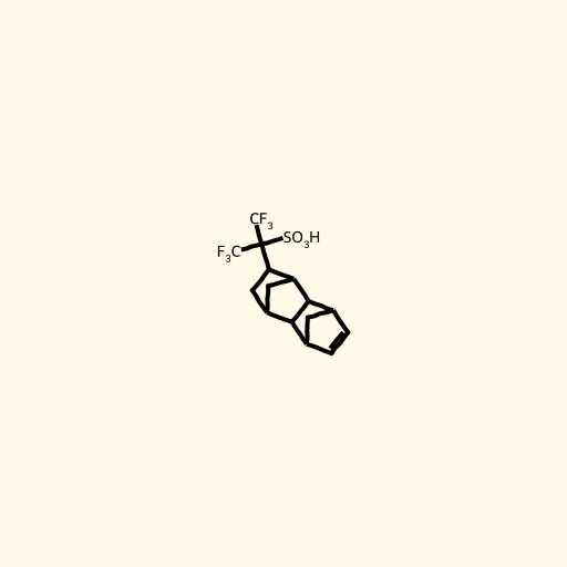 O=S(=O)(O)C(C1CC2CC1C1C3C=CC(C3)C21)(C(F)(F)F)C(F)(F)F